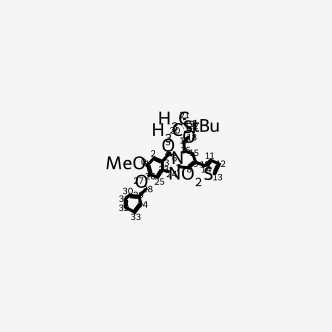 COc1cc(C(=O)N2CC=C(c3cccs3)CC2CO[Si](C)(C)C(C)(C)C)c([N+](=O)[O-])cc1OCc1ccccc1